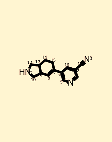 N#Cc1cncc(C2=CC3CNCC3CC2)c1